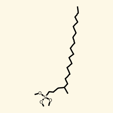 CCCCCCCCCCCCCCCCC(C)CCC[Si](OC)(OC)OC